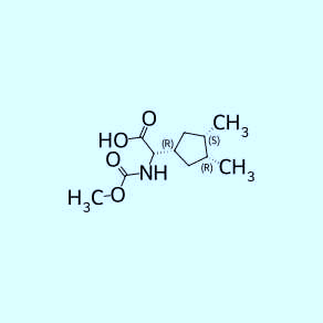 COC(=O)NC(C(=O)O)[C@H]1C[C@@H](C)[C@@H](C)C1